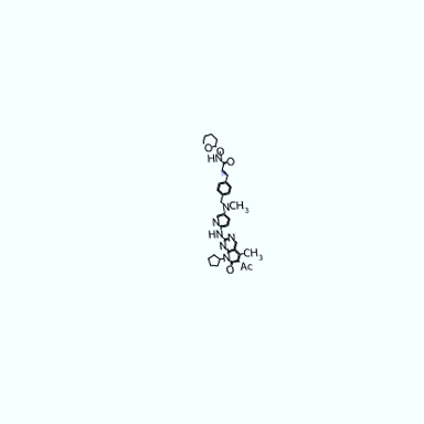 CC(=O)c1c(C)c2cnc(Nc3ccc(N(C)Cc4ccc(/C=C/C(=O)NOC5CCCCO5)cc4)cn3)nc2n(C2CCCC2)c1=O